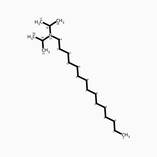 CCCCCCCCCCCCCCCN(C(C)C)C(C)C